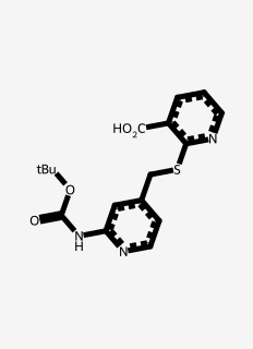 CC(C)(C)OC(=O)Nc1cc(CSc2ncccc2C(=O)O)ccn1